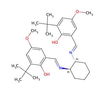 COc1cc(C=N[C@@H]2CCCC[C@H]2N=Cc2cc(OC)cc(C(C)(C)C)c2O)c(O)c(C(C)(C)C)c1